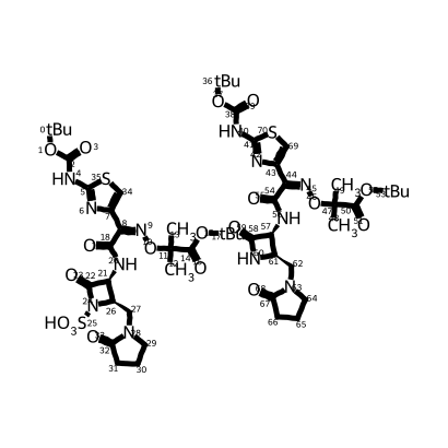 CC(C)(C)OC(=O)Nc1nc(/C(=N/OC(C)(C)C(=O)OC(C)(C)C)C(=O)N[C@@H]2C(=O)N(S(=O)(=O)O)[C@@H]2CN2CCCC2=O)cs1.CC(C)(C)OC(=O)Nc1nc(/C(=N/OC(C)(C)C(=O)OC(C)(C)C)C(=O)N[C@@H]2C(=O)N[C@@H]2CN2CCCC2=O)cs1